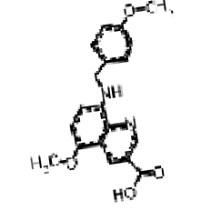 COc1ccc(CNc2ccc(OC)c3cc(C(=O)O)cnc23)cc1